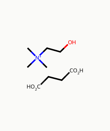 C[N+](C)(C)CCO.O=C(O)CCC(=O)O